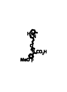 C=C/C(CCCOC1CN(C(CC(=O)O)c2ccc(OC)c(F)c2)C1)=N\C1=C(C)CCCN1